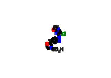 CC(C)Oc1ncc(Cl)c(Nc2ccc([C@@]3(C(C)(C)C)CN(C(=O)O)CCO3)cc2)n1